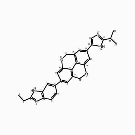 CCc1nc2ccc(-c3cc4c5c(c3)OCc3cc(-c6cnc(C(C)C)[nH]6)cc(c3-5)OC4)cc2[nH]1